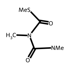 CNC(=O)N(C)C(=O)SC